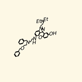 CCN(CC)CCn1nc2c3c(c(NCCN(CCOCc4ccccc4)Cc4ccccc4)ccc31)Oc1ccc(O)cc1-2